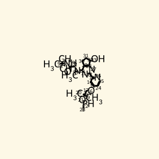 CN(CC(=O)NC(C)(C)C)c1nc(-c2cc(OCC(C)(C)OPI)ccn2)nc2c1CCC2O